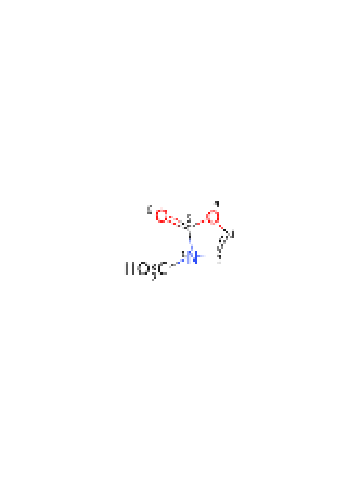 O=C(O)n1ccoc1=O